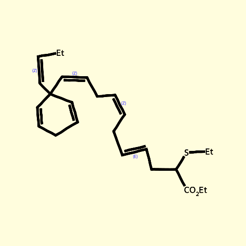 CC/C=C\C1(/C=C\C/C=C\C/C=C/CC(SCC)C(=O)OCC)C=CCC=C1